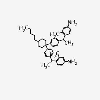 CCCCCC1CCC(c2ccc(C(C)c3ccc(N)cc3C)cc2)(c2ccc(C(C)c3ccc(N)cc3C)cc2)CC1